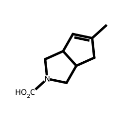 CC1=CC2CN(C(=O)O)CC2C1